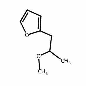 COC(C)Cc1ccco1